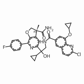 C[C@]1(C(N)=O)COc2c1cc(C(O)(CNC(=O)c1cc(OC3CC3)c3nc(Cl)ccc3c1)C1CC1)nc2-c1ccc(F)cc1